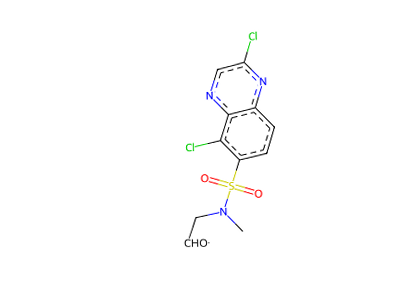 CN(C[C]=O)S(=O)(=O)c1ccc2nc(Cl)cnc2c1Cl